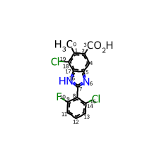 Cc1c(C(=O)O)cc2nc(-c3c(F)cccc3Cl)[nH]c2c1Cl